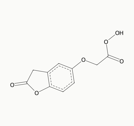 O=C(COc1ccc2c(c1)CC(=O)O2)OO